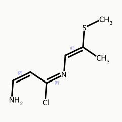 CS/C(C)=C/N=C(Cl)\C=C/N